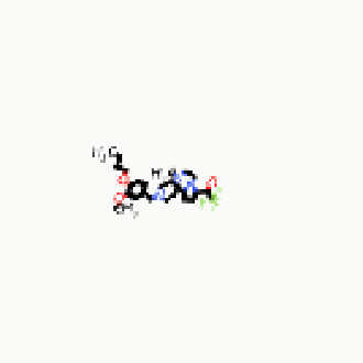 CCCCOc1ccc(CN2CCC3(CC2)c2ccc(C(=O)C(F)(F)F)n2CCN3C)cc1OC